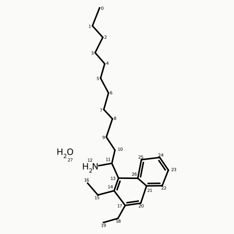 CCCCCCCCCCCC(N)c1c(CC)c(CC)cc2ccccc12.O